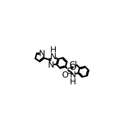 O=S(=O)(Nc1ccccc1Cl)c1ccc2[nH]c(C3=CCC=N3)nc2c1